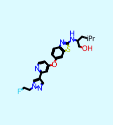 CC(C)CC(CO)Nc1nc2ccc(Oc3ccnc(-c4cnn(CCF)c4)c3)cc2s1